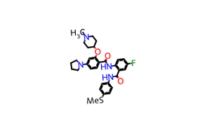 CSc1ccc(NC(=O)c2cc(F)ccc2NC(=O)c2ccc(N3CCCC3)cc2OC2CCN(C)CC2)cc1